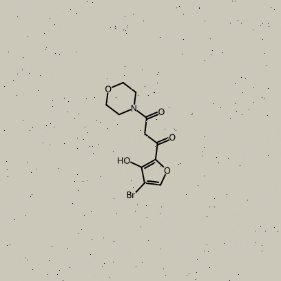 O=C(CC(=O)N1CCOCC1)c1occ(Br)c1O